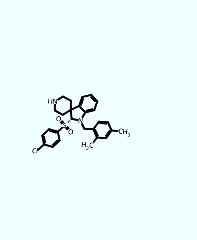 Cc1ccc(CN2c3ccccc3C3(CCNCC3)[C@H]2S(=O)(=O)c2ccc(Cl)cc2)c(C)c1